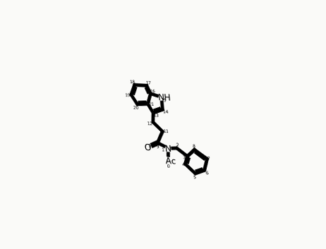 CC(=O)N(Cc1ccccc1)C(=O)CCc1c[nH]c2ccccc12